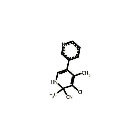 CC1=C(Cl)C(C#N)(C(F)(F)F)NC=C1c1cccnc1